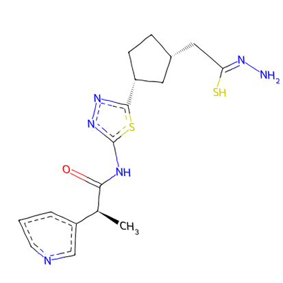 C[C@H](C(=O)Nc1nnc([C@@H]2CC[C@H](C/C(S)=N/N)C2)s1)c1cccnc1